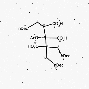 CCCCCCCCCCCC(C(=O)O)C(OC(C)=O)(C(=O)O)C(CCCCCCCCCCC)(CCCCCCCCCCC)C(=O)O